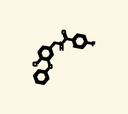 O=C(NCc1ccc(Cl)c(Oc2ccccc2)c1)c1[c]cc(F)cc1